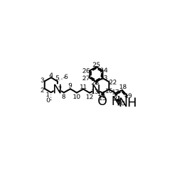 C[C@@H]1CCC[C@H](C)N1CCCCCN1C(=O)C(c2cc[nH]n2)Cc2ccccc21